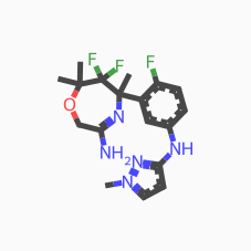 Cn1ccc(Nc2ccc(F)c(C3(C)N=C(N)COC(C)(C)C3(F)F)c2)n1